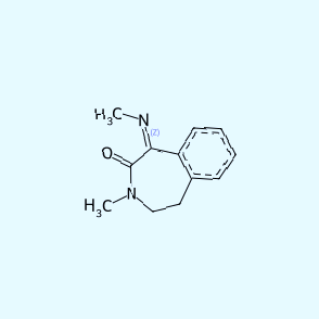 C/N=C1\C(=O)N(C)CCc2ccccc21